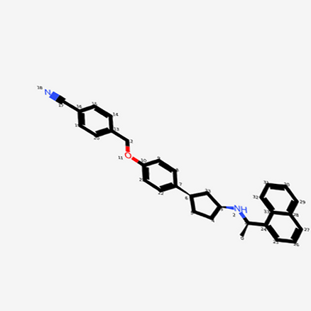 C[C@@H](N[C@H]1CC[C@@H](c2ccc(OCc3ccc(C#N)cc3)cc2)C1)c1cccc2ccccc12